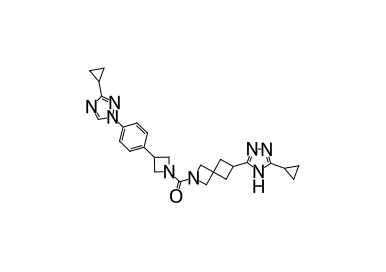 O=C(N1CC(c2ccc(-n3cnc(C4CC4)n3)cc2)C1)N1CC2(CC(c3nnc(C4CC4)[nH]3)C2)C1